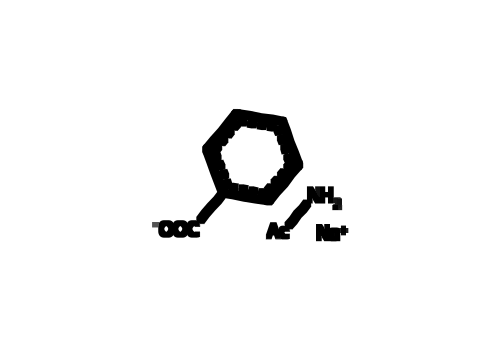 CC(N)=O.O=C([O-])c1ccccc1.[Na+]